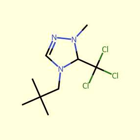 CN1N=CN(CC(C)(C)C)C1C(Cl)(Cl)Cl